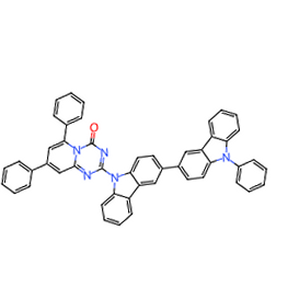 O=c1nc(-n2c3ccccc3c3cc(-c4ccc5c(c4)c4ccccc4n5-c4ccccc4)ccc32)nc2cc(-c3ccccc3)cc(-c3ccccc3)n12